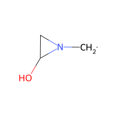 [CH2]N1CC1O